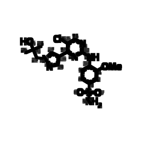 COc1cc(S(N)(=O)=O)ccc1Nc1ncc(Cl)c(-c2cnn(CC(C)(C)O)c2)n1